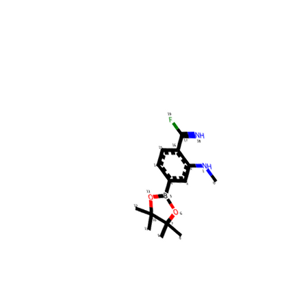 CNc1cc(B2OC(C)(C)C(C)(C)O2)ccc1C(=N)F